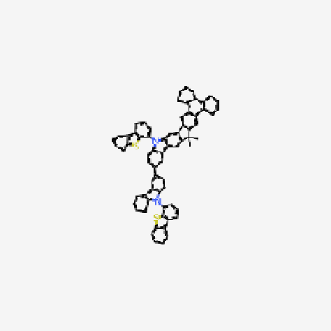 CC1(C)c2cc3c4ccccc4c4ccccc4c3cc2-c2cc3c(cc21)c1cc(-c2ccc4c(c2)c2ccccc2n4-c2cccc4c2sc2ccccc24)ccc1n3-c1cccc2c1sc1ccccc12